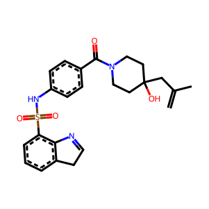 C=C(C)CC1(O)CCN(C(=O)c2ccc(NS(=O)(=O)c3cccc4c3N=CC4)cc2)CC1